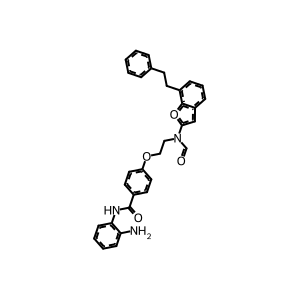 Nc1ccccc1NC(=O)c1ccc(OCCN(C=O)c2cc3cccc(CCc4ccccc4)c3o2)cc1